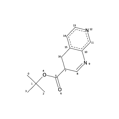 CC(C)(C)OC(=O)C1C=Nc2cnccc2C1